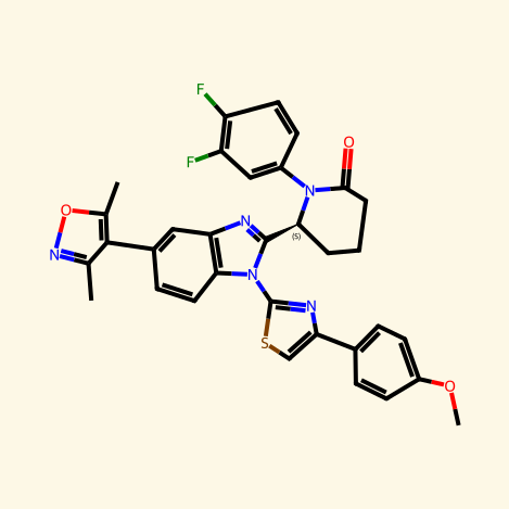 COc1ccc(-c2csc(-n3c([C@@H]4CCCC(=O)N4c4ccc(F)c(F)c4)nc4cc(-c5c(C)noc5C)ccc43)n2)cc1